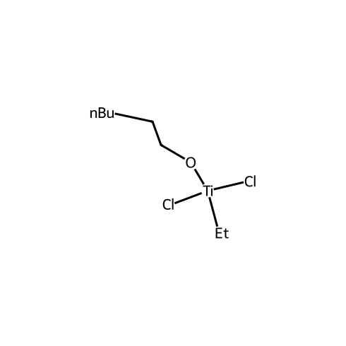 CCCCCC[O][Ti]([Cl])([Cl])[CH2]C